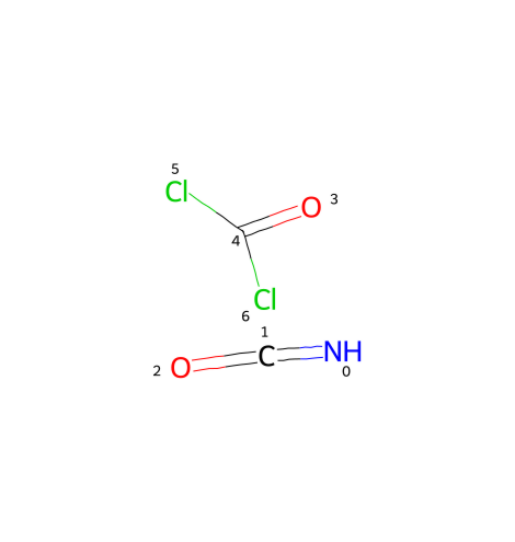 N=C=O.O=C(Cl)Cl